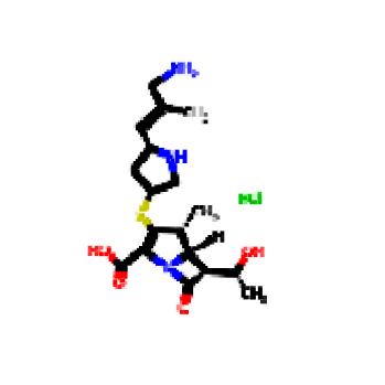 C/C(=C\[C@@H]1C[C@H](SC2=C(C(=O)O)N3C(=O)[C@H]([C@@H](C)O)[C@H]3[C@H]2C)CN1)CN.Cl